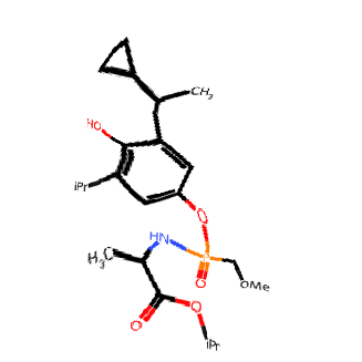 COCP(=O)(NC(C)C(=O)OC(C)C)Oc1cc(C(C)C)c(O)c(C(C)C2CC2)c1